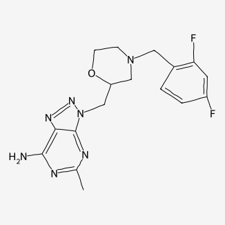 Cc1nc(N)c2nnn(CC3CN(Cc4ccc(F)cc4F)CCO3)c2n1